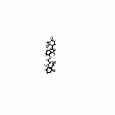 Cn1nc(C2CCC(=O)NC2=O)c2cccc(OCC(=O)Nc3cccc(Br)c3C#N)c21